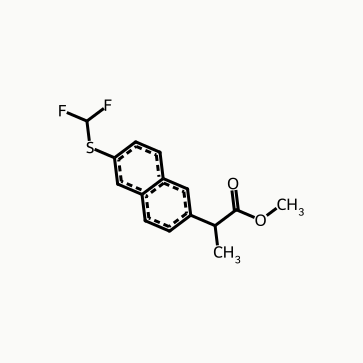 COC(=O)C(C)c1ccc2cc(SC(F)F)ccc2c1